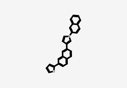 c1coc(-c2ccc3ccc(-c4ccn(-c5ccc6ccccc6c5)c4)cc3c2)c1